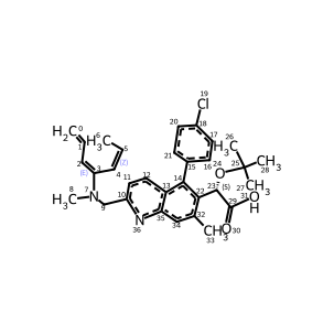 C=C/C=C(\C=C/C)N(C)Cc1ccc2c(-c3ccc(Cl)cc3)c([C@H](OC(C)(C)C)C(=O)O)c(C)cc2n1